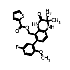 COc1ccc(F)cc1-c1ccc2c(c1COC(=O)c1cccs1)NC(=O)C(C)(C)N2